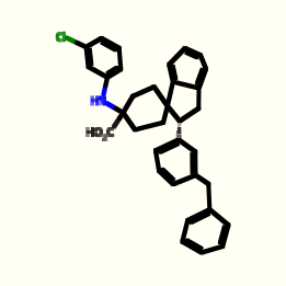 O=C(O)C1(Nc2cccc(Cl)c2)CCC2(CC1)c1ccccc1C[C@@H]2c1cccc(Cc2ccccc2)c1